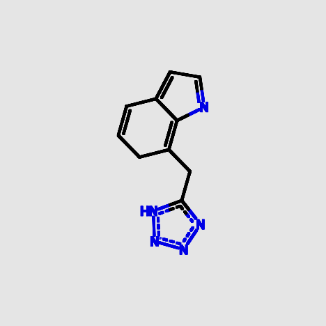 C1=CC2=CC=NC2=C(Cc2nnn[nH]2)C1